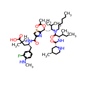 CCCCCCN(C(=O)[C@@H](NC(=O)[C@H]1C[C@H](C)CCN1)[C@@H](C)CC)[C@H](C[C@@H](OC(C)=O)c1nc(C(=O)N[C@@H](Cc2ccc(NC)c(F)c2)CC(C)(C)C(=O)O)cs1)C(C)C